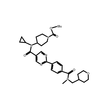 CN(CC1CCOCC1)C(=O)c1ccc(-c2ncc(C(=O)N(C3CC3)C3CCN(C(=O)OC(C)(C)C)CC3)cn2)cc1